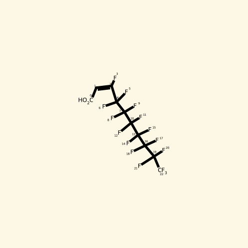 O=C(O)/C=C(/F)C(F)(F)C(F)(F)C(F)(F)C(F)(F)C(F)(F)C(F)(F)C(F)(F)F